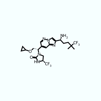 CC(C)(CC[C@H](N)c1cn2ncc([C@@H](COC3CC3)N3C[C@@H](C(F)(F)F)NC3=O)cc2n1)C(F)(F)F